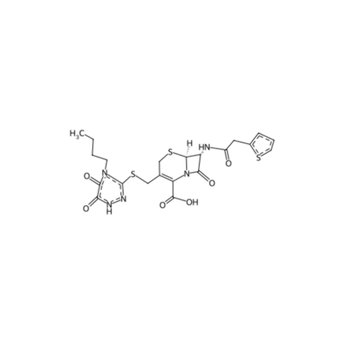 CCCCn1c(SCC2=C(C(=O)O)N3C(=O)[C@@H](NC(=O)Cc4cccs4)[C@@H]3SC2)n[nH]c(=O)c1=O